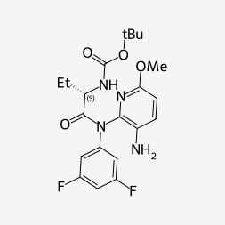 CC[C@H](NC(=O)OC(C)(C)C)C(=O)N(c1cc(F)cc(F)c1)c1nc(OC)ccc1N